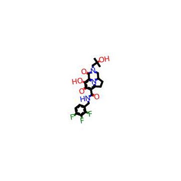 CC(C)(O)CN1CC2CCc3c(C(=O)NCc4ccc(F)c(F)c4F)c(=O)c(O)c(n32)C1=O